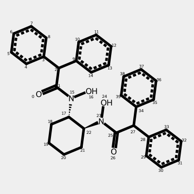 O=C(C(c1ccccc1)c1ccccc1)N(O)[C@H]1CCCC[C@@H]1N(O)C(=O)C(c1ccccc1)c1ccccc1